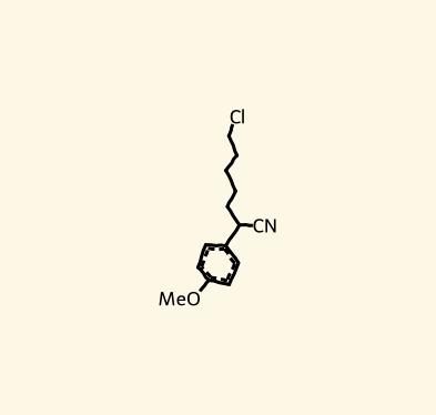 COc1ccc(C(C#N)CCCCCCl)cc1